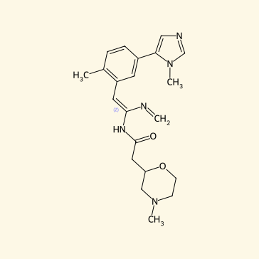 C=N/C(=C\c1cc(-c2cncn2C)ccc1C)NC(=O)CC1CN(C)CCO1